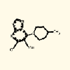 CCCCc1c(Cl)nc2ncnn2c1N1CCC(C)CC1